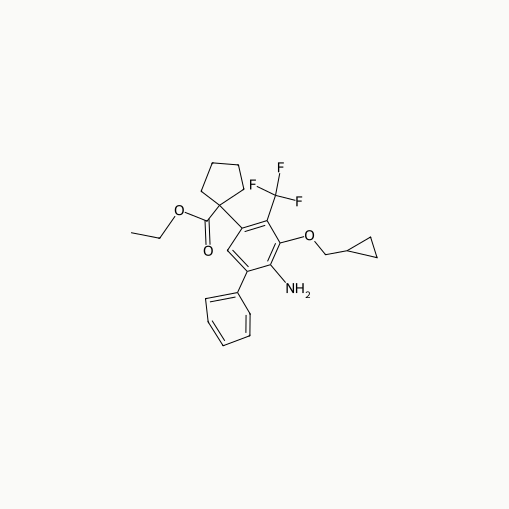 CCOC(=O)C1(c2cc(-c3ccccc3)c(N)c(OCC3CC3)c2C(F)(F)F)CCCC1